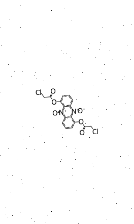 O=C(CCl)Oc1cccc2c1[n+]([O-])c1cccc(OC(=O)CCl)c1[n+]2[O-]